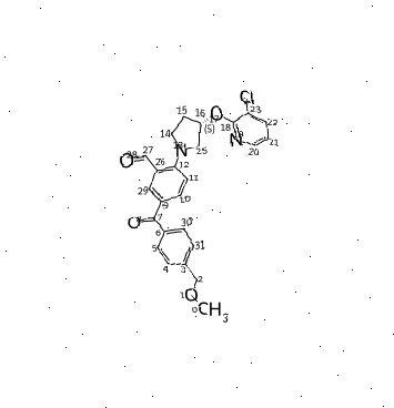 COCc1ccc(C(=O)c2ccc(N3CC[C@H](Oc4ncccc4Cl)C3)c(C=O)c2)cc1